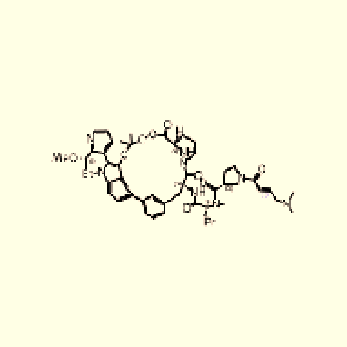 CCn1c(-c2cccnc2[C@H](C)OC)c2c3cc(ccc31)-c1cccc(c1)C[C@H](NC(=O)[C@H](C(C)C)N(C)C(=O)[C@H]1CCN(C(=O)/C=C/CN(C)C)C1)C(=O)N1CCC[C@H](N1)C(=O)OCC(C)(C)C2